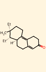 CC[C@H]1[C@@H]2CCC3=CC(=O)CCC3=C2CC[C@@]1(C)CC